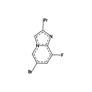 CC(C)c1cn2cc(Br)cc(F)c2n1